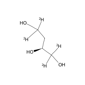 [2H]C([2H])(O)C[C@H](O)C([2H])([2H])O